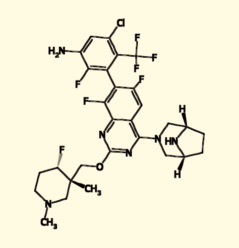 CN1CC[C@H](F)[C@](C)(COc2nc(N3C[C@H]4CC[C@@H](C3)N4)c3cc(F)c(-c4c(F)c(N)cc(Cl)c4C(F)(F)F)c(F)c3n2)C1